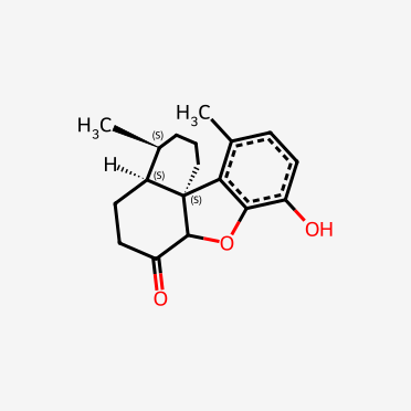 Cc1ccc(O)c2c1[C@]13CCC[C@H](C)[C@@H]1CCC(=O)C3O2